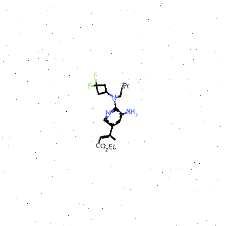 CCOC(=O)/C=C(\C)c1cnc(N(CC(C)C)C2CC(F)(F)C2)c(N)c1